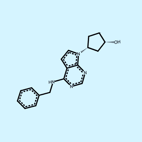 O[C@H]1[CH]C[C@@H](n2ccc3c(NCc4ccccc4)ncnc32)C1